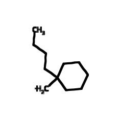 [CH2]C1(CCCC)CCCCC1